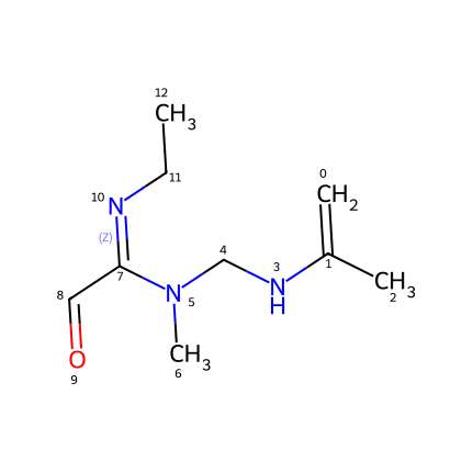 C=C(C)NCN(C)/C(C=O)=N\CC